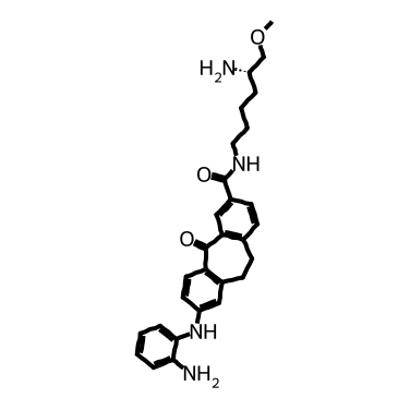 COC[C@@H](N)CCCCNC(=O)c1ccc2c(c1)C(=O)c1ccc(Nc3ccccc3N)cc1CC2